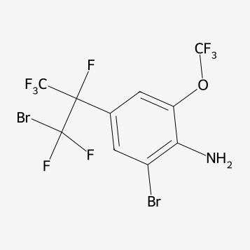 Nc1c(Br)cc(C(F)(C(F)(F)F)C(F)(F)Br)cc1OC(F)(F)F